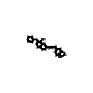 Oc1c(Cc2ccccc2)ccc2ccc(C#CCc3ccc4[nH]cnc4c3)cc12